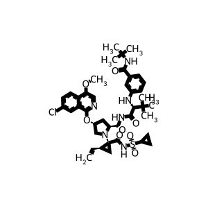 C=C[C@@H]1C[C@@]1(C(=O)NS(=O)(=O)C1CC1)N1C[C@H](Oc2ncc(OC)c3ccc(Cl)cc23)C[C@H]1C(=O)NC(=O)[C@@H](Nc1cccc(C(=O)NC(C)(C)C)c1)C(C)(C)C